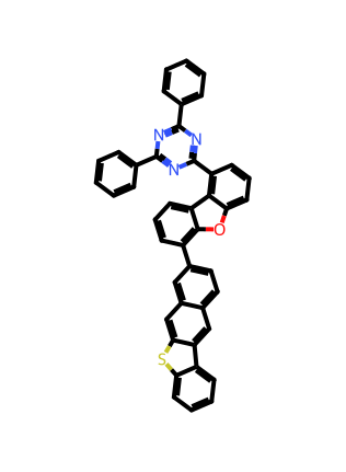 c1ccc(-c2nc(-c3ccccc3)nc(-c3cccc4oc5c(-c6ccc7cc8c(cc7c6)sc6ccccc68)cccc5c34)n2)cc1